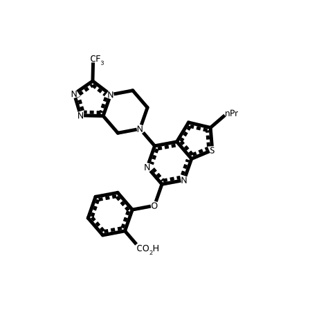 CCCc1cc2c(N3CCn4c(nnc4C(F)(F)F)C3)nc(Oc3ccccc3C(=O)O)nc2s1